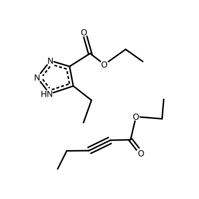 CCC#CC(=O)OCC.CCOC(=O)c1nn[nH]c1CC